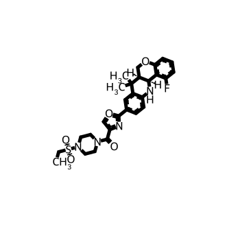 CCS(=O)(=O)N1CCN(C(=O)c2coc(-c3ccc4c(c3)C(C)(C)[C@H]3COc5cccc(F)c5[C@H]3N4)n2)CC1